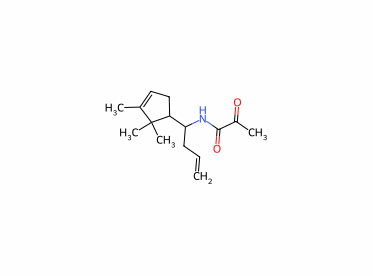 C=CCC(NC(=O)C(C)=O)C1CC=C(C)C1(C)C